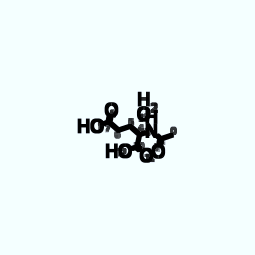 CC(=O)NC(CCC(=O)O)C(=O)O.O